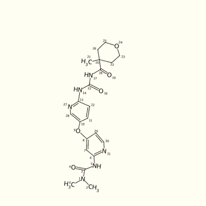 CN(C)C(=O)Nc1cc(Oc2ccc(NC(=O)NC(=O)C3(C)CCOCC3)nc2)ccn1